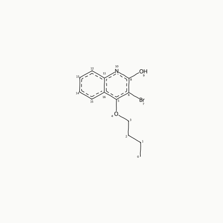 CCCCOc1c(Br)c(O)nc2ccccc12